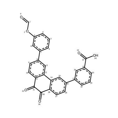 O=COc1cccc(-c2ccc3c(c2)-c2cc(-c4cccc(C(=O)O)c4)ccc2C(=O)C3=O)c1